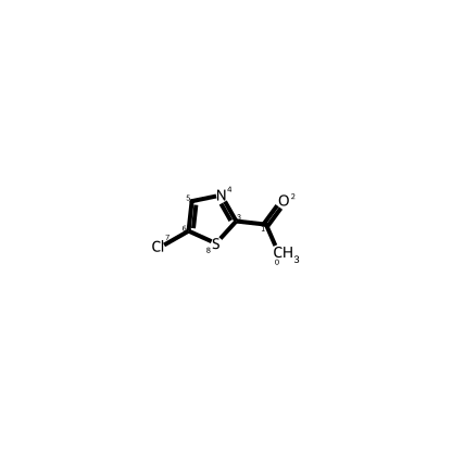 CC(=O)c1ncc(Cl)s1